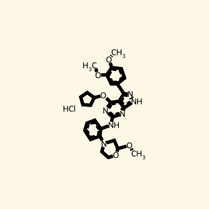 COc1ccc(-c2n[nH]c3nc(Nc4ccccc4N4CCOC(OC)C4)nc(OC4CCCC4)c23)cc1OC.Cl